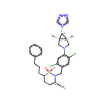 C[C@H]1CCC(CCCc2ccccc2)S(=O)(=O)N1Cc1cc(F)c(N2C[C@@H]3[C@H](C2)[C@H]3n2cnnc2)cc1F